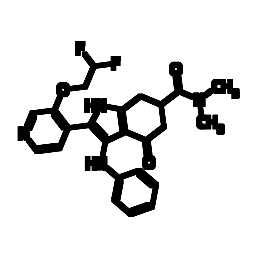 CN(C)C(=O)C1CC(=O)c2c([nH]c(-c3ccncc3OCC(F)F)c2Nc2ccccc2)C1